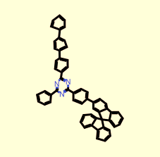 c1ccc(-c2ccc(-c3ccc(-c4nc(-c5ccccc5)nc(-c5ccc(-c6ccc7c(c6)C6(c8ccccc8-c8ccccc86)c6ccccc6-7)cc5)n4)cc3)cc2)cc1